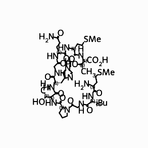 CC[C@H](C)[C@H](NC(=O)[C@@H](N)CCSC)C(=O)NCC(=O)N1CCC[C@H]1C(=O)N[C@H](C(=O)N[C@@H](Cc1c[nH]cn1)C(=O)NCC(=O)N[C@@H](CCC(N)=O)C(=O)N[C@@H](CCSC)C(=O)N[C@H](C(=O)O)[C@@H](C)O)[C@@H](C)O